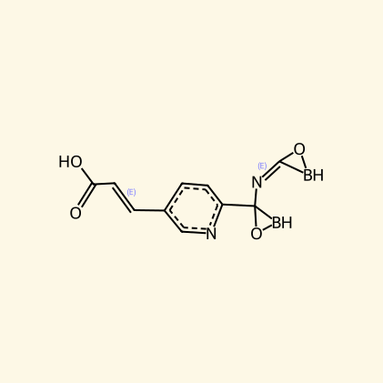 O=C(O)/C=C/c1ccc(C2(/N=C3\BO3)BO2)nc1